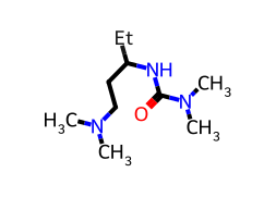 CCC(CCN(C)C)NC(=O)N(C)C